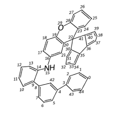 c1ccc(-c2cccc(-c3ccccc3Nc3ccc4c(c3)C3(c5ccccc5O4)c4ccccc4-c4ccccc43)c2)cc1